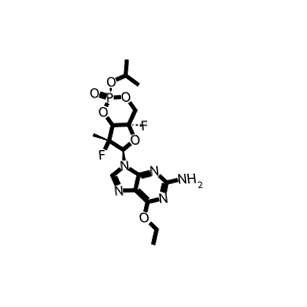 CCOc1nc(N)nc2c1ncn2[C@@H]1O[C@]2(F)CO[P@@](=O)(OC(C)C)OC2[C@@]1(C)F